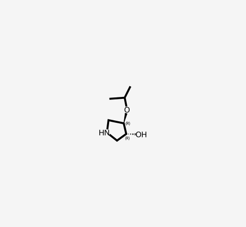 CC(C)O[C@@H]1CNC[C@H]1O